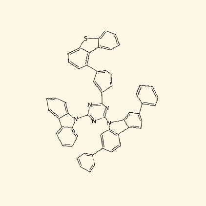 c1ccc(-c2ccc3c4ccc(-c5ccccc5)cc4n(-c4nc(-c5cccc(-c6cccc7sc8ccccc8c67)c5)nc(-n5c6ccccc6c6ccccc65)n4)c3c2)cc1